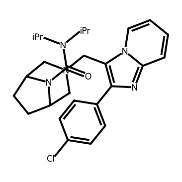 CC(C)N(C(=O)N1C2CCC1CN(Cc1c(-c3ccc(Cl)cc3)nc3ccccn13)C2)C(C)C